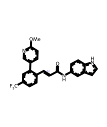 COc1ccc(-c2cc(C(F)(F)F)ccc2/C=C/C(=O)Nc2ccc3[nH]ccc3c2)cn1